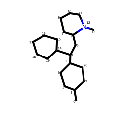 CC1CCC(C(CC2CCCCN2C)C2CCCCC2)CC1